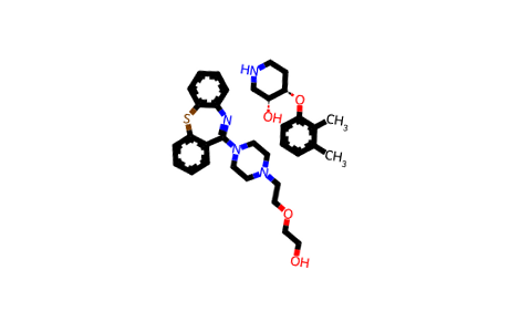 Cc1cccc(O[C@H]2CCNC[C@H]2O)c1C.OCCOCCN1CCN(C2=Nc3ccccc3Sc3ccccc32)CC1